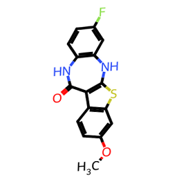 COc1ccc2c3c(sc2c1)Nc1cc(F)ccc1NC3=O